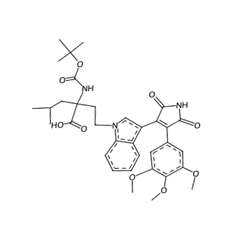 COc1cc(C2=C(c3cn(CCC(CC(C)C)(NC(=O)OC(C)(C)C)C(=O)O)c4ccccc34)C(=O)NC2=O)cc(OC)c1OC